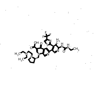 CCNC(=O)NC1N=CC(c2cc3c(=O)c(C(=O)O)cn(C[C@H]4CCCN4CCN(CC)CC)c3cn2)=C(c2nc(C(F)(F)F)cs2)C1C